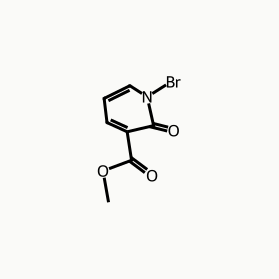 COC(=O)c1cccn(Br)c1=O